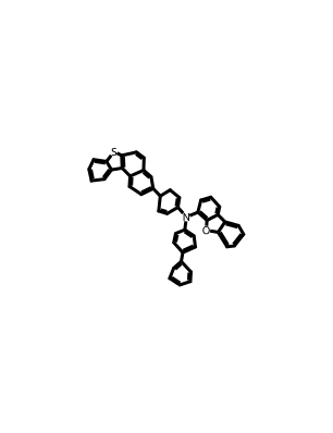 C1=CC(c2ccc3c(ccc4sc5ccccc5c43)c2)CC=C1N(c1ccc(-c2ccccc2)cc1)c1cccc2c1oc1ccccc12